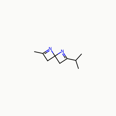 CC1=NC2(C1)CC(C(C)C)=N2